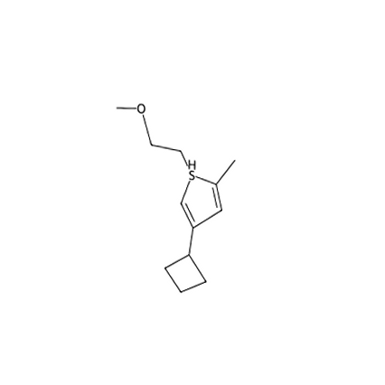 COCC[SH]1C=C(C2CCC2)C=C1C